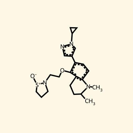 CC1CCc2c(ccc(-c3cnn(C4CC4)c3)c2OCCN2CCC[S+]2[O-])N1C